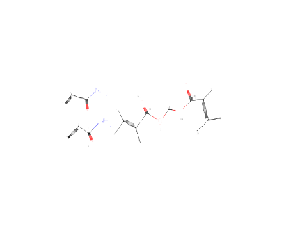 C=CC(N)=O.C=CC(N)=O.CC(C)=C(C)C(=O)OCOC(=O)C(C)=C(C)C